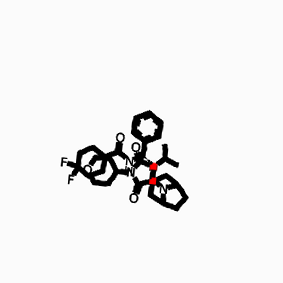 CC(C)N1C(=O)N(C2CCOCC2)C(=O)C12CC1CCC(C2)N1CC[C@H](NC(=O)C1CCC(F)(F)CC1)c1ccccc1